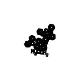 CC1(C)c2ccccc2-c2c(N(c3ccc(-c4cccc5c4oc4ccccc45)cc3)C34C=CC5=C(c6ccccc6C56c5ccc7ccccc7c5Oc5c6ccc6ccccc56)C3C4)cccc21